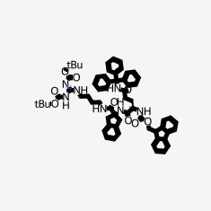 CC(C)(C)OC(=O)/N=C(\NCCCCNC(=O)C1(NC(=O)[C@@H](CCC(=O)NC(c2ccccc2)(c2ccccc2)c2ccccc2)NC(=O)OCC2c3ccccc3-c3ccccc32)Cc2ccccc2C1)NC(=O)OC(C)(C)C